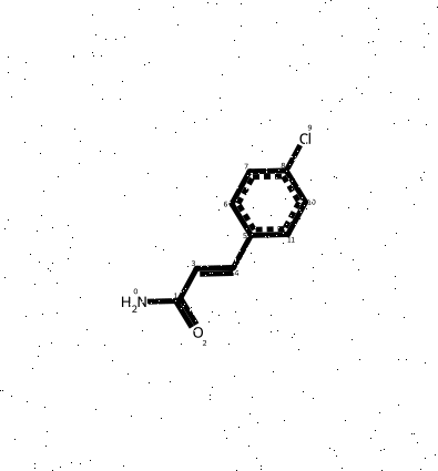 NC(=O)/C=C/c1ccc(Cl)cc1